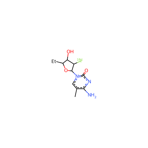 CCC1OC(n2cc(C)c(N)nc2=O)C([18F])C1O